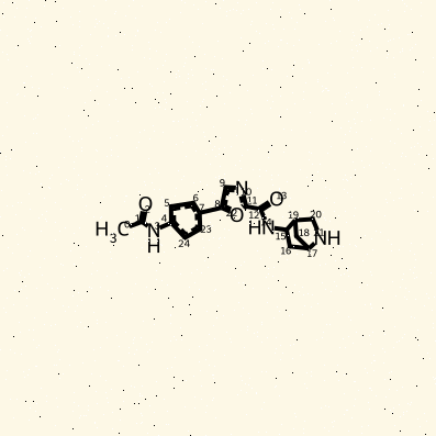 CC(=O)Nc1ccc(-c2cnc(C(=O)NC3CC4CC3CN4)o2)cc1